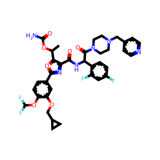 CC(OC(N)=O)c1oc(-c2ccc(OC(F)F)c(OCC3CC3)c2)nc1C(=O)NC(C(=O)N1CCN(Cc2ccncc2)CC1)c1ccc(F)cc1F